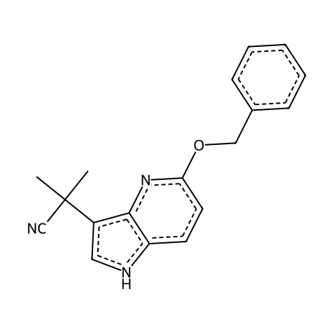 CC(C)(C#N)c1c[nH]c2ccc(OCc3ccccc3)nc12